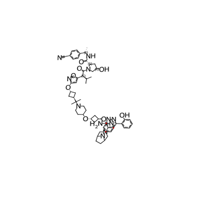 CC(C)[C@H](C(=O)N1C[C@H](O)C[C@H]1C(=O)N[C@@H](C)c1ccc(C#N)cc1)c1cc(O[C@H]2C[C@H](C(C)(C)N3CCC(O[C@H]4C[C@H](Oc5cc(N6C7CCC6CN(c6cc(-c8ccccc8O)nnc6N)C7)ccn5)C4)CC3)C2)no1